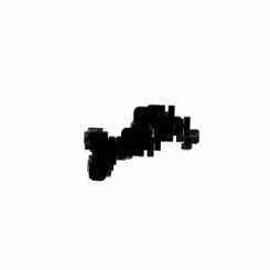 CN(C)CCN(C)C(=O)c1ccc(NC(=O)Nc2ccc(-c3nc(N4CCCC4)nc(N4CCOCC4)n3)cc2)cc1